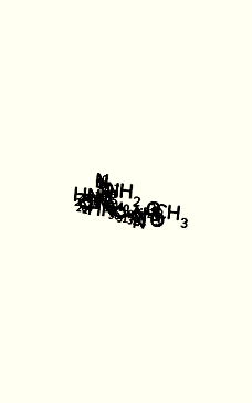 CS(=O)(=O)CCn1cc(-c2ccc(Nc3cc(N)c(C#N)c(NC4CCCCC4)n3)cc2)cn1